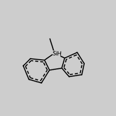 C[SiH]1c2ccccc2-c2ccccc21